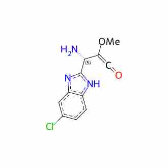 COC(=C=O)[C@@H](N)c1nc2cc(Cl)ccc2[nH]1